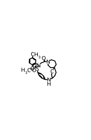 COc1ccc(C)cc1N1CC(=O)N2CCCC3(CCC(CC3)Nc3ccc(cc3)S1(=O)=O)CC2